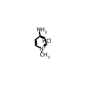 C[n+]1ccc(N)cc1.Cl